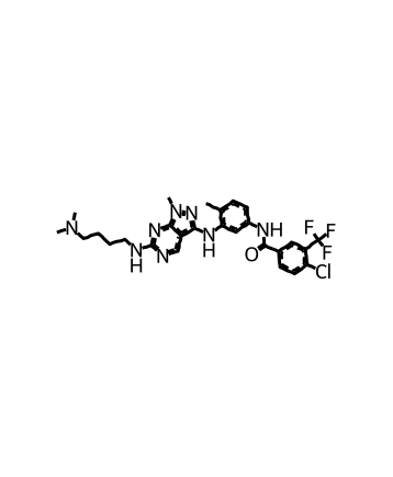 Cc1ccc(NC(=O)c2ccc(Cl)c(C(F)(F)F)c2)cc1Nc1nn(C)c2nc(NCCCCN(C)C)ncc12